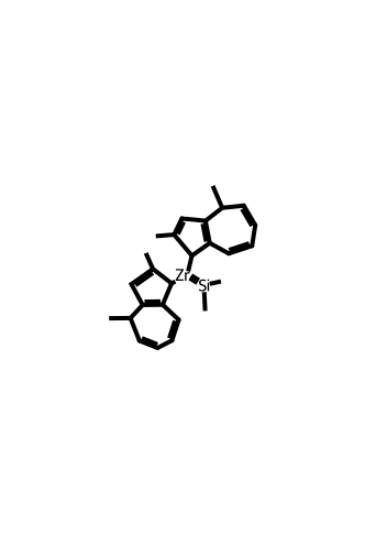 CC1=CC2=C(C=CC=CC2C)[CH]1[Zr]([CH]1C(C)=CC2=C1C=CC=CC2C)=[Si](C)C